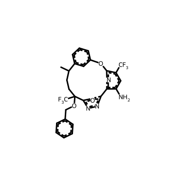 CC1CCC(OCc2ccccc2)(C(F)(F)F)c2nnc(o2)-c2nc(c(C(F)(F)F)cc2N)Oc2cccc1c2